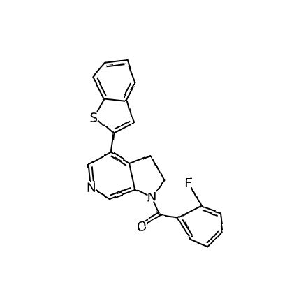 O=C(c1ccccc1F)N1CCc2c(-c3cc4ccccc4s3)cncc21